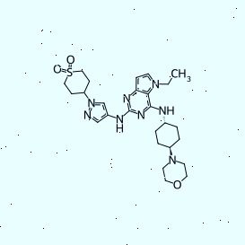 CCn1ccc2nc(Nc3cnn(C4CCS(=O)(=O)CC4)c3)nc(N[C@H]3CC[C@H](N4CCOCC4)CC3)c21